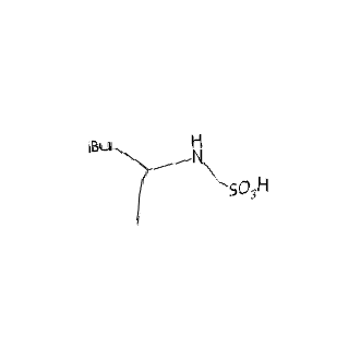 CCC(C)C(C)NS(=O)(=O)O